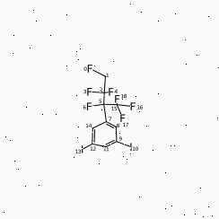 FCC(F)(F)C(F)(c1cc(I)[c]c(I)c1)C(F)(F)F